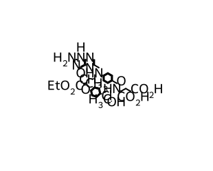 CCOC(=O)C(C)(C)Oc1ccc(Cl)cc1.CO.Nc1nc(=O)c2nc(CNc3ccc(C(=O)N[C@@H](CCC(=O)O)C(=O)O)cc3)cnc2[nH]1